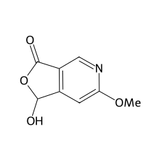 COc1cc2c(cn1)C(=O)OC2O